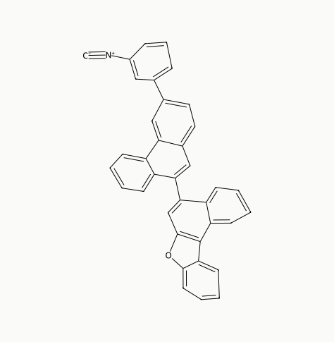 [C-]#[N+]c1cccc(-c2ccc3cc(-c4cc5oc6ccccc6c5c5ccccc45)c4ccccc4c3c2)c1